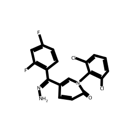 N/N=C(\c1ccc(=O)n(-c2c(Cl)cccc2Cl)c1)c1ccc(F)cc1F